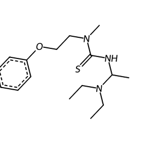 CCN(CC)C(C)NC(=S)N(C)CCOc1ccccc1